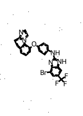 FC(F)(F)c1cc(Br)c2nc(Nc3ccc(Oc4cccc5ccc6nccn6c45)cc3)[nH]c2c1